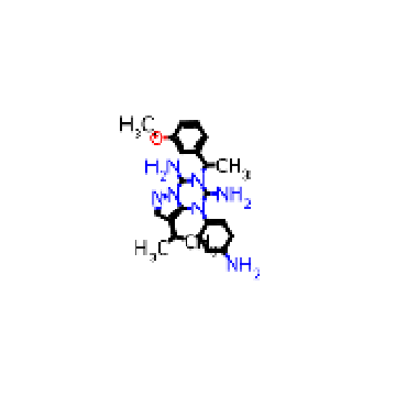 COc1cccc(C(C)N2C(N)N(C3CCC(N)CC3)c3c(C(C)C)cnn3C2N)c1